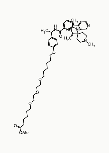 C=C(NC(=C)C1(Nc2cccc(C(=O)NC(C)c3ccc(OCCCCCCOCCOCCOCCCCCC(=O)OC)cc3)c2)CCN(C)CC1)c1ccncc1